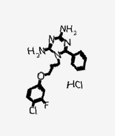 Cl.NC1=NC(c2ccccc2)N(CCCOc2ccc(Cl)c(F)c2)C(N)=N1